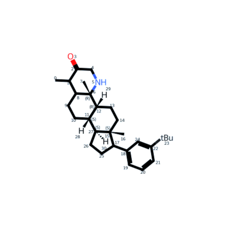 CC1C(=O)CN[C@@]2(C)C1CC[C@@H]1[C@H]2CC[C@]2(C)C(c3cccc(C(C)(C)C)c3)CC[C@@H]12